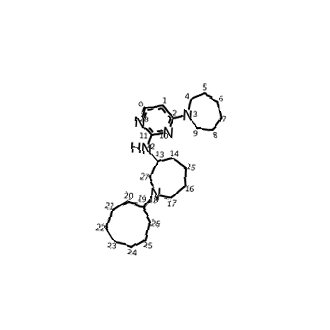 c1cc(N2CCCCCC2)nc(NC2CCCCN(C3CCCCCCC3)C2)n1